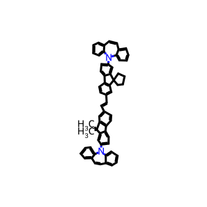 CC1(C)c2cc(/C=C/c3ccc4c(c3)C3(CCCC3)c3cc(N5c6ccccc6C=Cc6ccccc65)ccc3-4)ccc2-c2ccc(N3c4ccccc4C=Cc4ccccc43)cc21